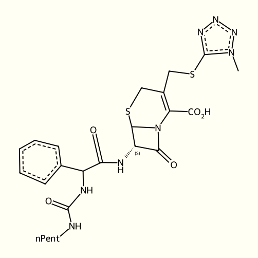 CCCCCNC(=O)NC(C(=O)N[C@H]1C(=O)N2C(C(=O)O)=C(CSc3nnnn3C)CSC12)c1ccccc1